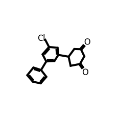 O=C1CC(=O)CC(c2cc(Cl)cc(-c3ccccc3)c2)C1